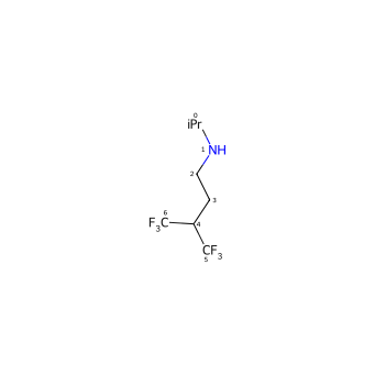 CC(C)NCCC(C(F)(F)F)C(F)(F)F